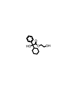 O=C(OCCO)C(O)(c1ccccc1)C1CCCCC1